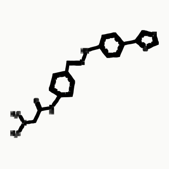 CN(C)CC(=O)Nc1ccc(C=NNc2ccc(-c3cnco3)cc2)cc1